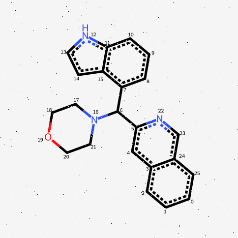 c1ccc2cc(C(c3cccc4[nH]ccc34)N3CCOCC3)ncc2c1